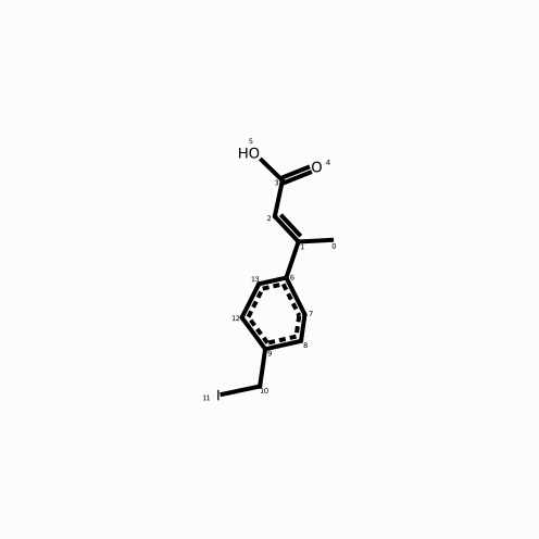 CC(=CC(=O)O)c1ccc(CI)cc1